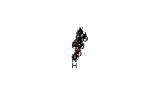 CNC(=O)c1c(-c2ccc(C)cc2)oc2cc3c(cc12)[C@H](C)O[C@H](COC(=O)CC1CCNCC1)CN3S(C)(=O)=O